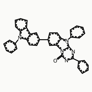 O=c1nc(-c2ccccc2)nc2n(-c3ccccc3)c3ccc(-c4ccc5c(c4)c4ccccc4n5-c4ccccc4)cc3n12